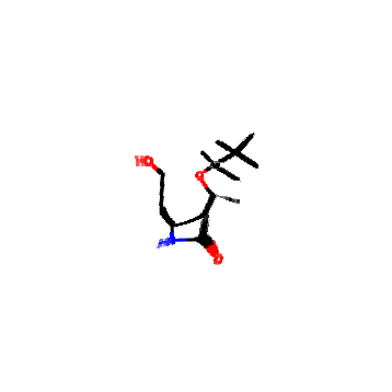 C[C@@H](O[Si](C)(C)C(C)(C)C)[C@H]1C(=O)N/C1=C/CO